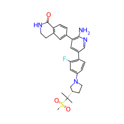 CC(C)([C@H]1CCN(c2ccc(-c3cnc(N)c(-c4ccc5c(c4)CCNC5=O)c3)c(F)c2)C1)S(C)(=O)=O